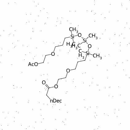 CCCCCCCCCCCC(=O)OCCOCCC[Si](C)(C)O[Si](C)(C)O[Si](C)(C)CCCOCCOC(C)=O